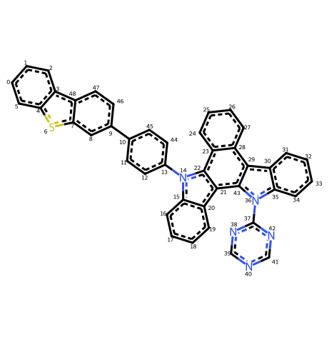 c1ccc2c(c1)sc1cc(-c3ccc(-n4c5ccccc5c5c4c4ccccc4c4c6ccccc6n(-c6ncncn6)c45)cc3)ccc12